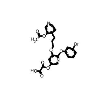 CC(=O)Oc1cnccc1CCCOc1cc(OC(=O)C(=O)O)cnc1Oc1cccc(Br)c1